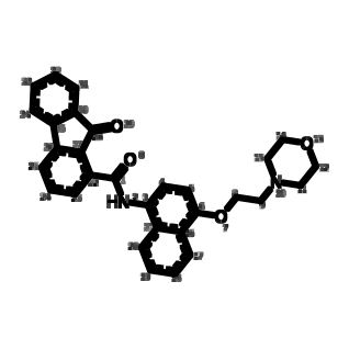 O=C(Nc1ccc(OCCN2CCOCC2)c2ccccc12)c1cccc2c1C(=O)c1ccccc1-2